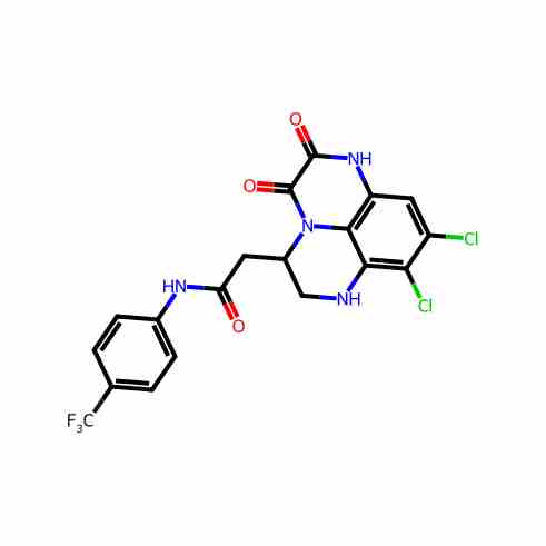 O=C(CC1CNc2c(Cl)c(Cl)cc3[nH]c(=O)c(=O)n1c23)Nc1ccc(C(F)(F)F)cc1